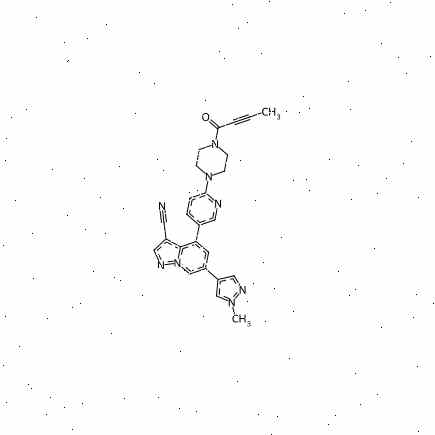 CC#CC(=O)N1CCN(c2ccc(-c3cc(-c4cnn(C)c4)cn4ncc(C#N)c34)cn2)CC1